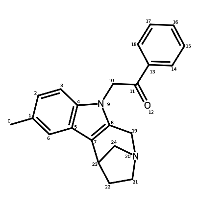 Cc1ccc2c(c1)c1c(n2CC(=O)c2ccccc2)CN2CCC1C2